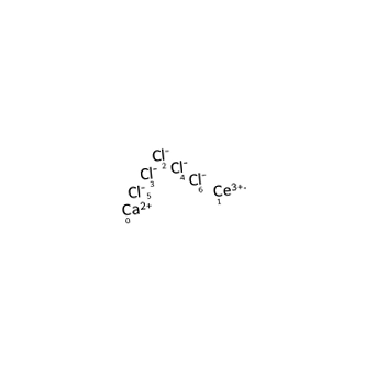 [Ca+2].[Ce+3].[Cl-].[Cl-].[Cl-].[Cl-].[Cl-]